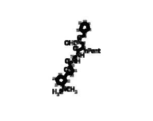 CCCCC[C@H](CN(C=O)OCc1ccccc1)C(=O)NCNC(=O)c1ccc(-c2cccc(N(C)C)c2)o1